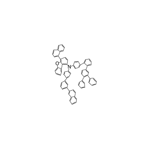 c1ccc(-c2ccc(-c3ccccc3-c3ccc(N(c4ccc(-c5cccc(-c6ccc7ccccc7c6)c5)cc4)c4ccc(-c5cccc6ccccc56)c5oc6ccccc6c45)cc3)cc2-c2ccccc2)cc1